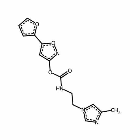 Cc1cn(CCNC(=O)Oc2cc(-c3ccco3)on2)cn1